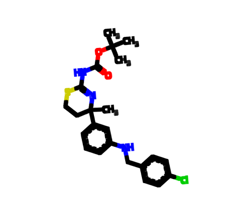 CC(C)(C)OC(=O)NC1=NC(C)(c2cccc(NCc3ccc(Cl)cc3)c2)CCS1